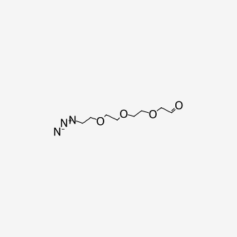 [N-]=[N+]=NCCOCCOCCOCC=O